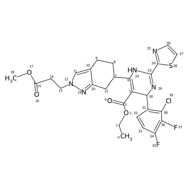 CCOC(=O)C1=C(C2CCc3cn(CCC(=O)OC)nc3C2)NC(c2nccs2)=NC1c1ccc(F)c(F)c1Cl